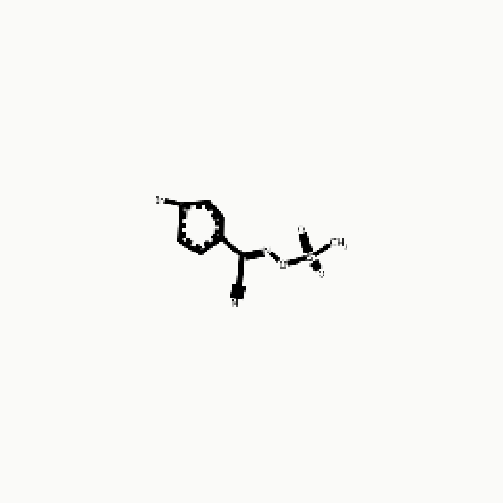 CS(=O)(=O)ON=C(C#N)c1ccc(Br)cc1